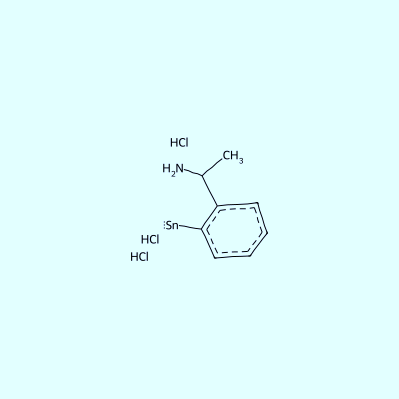 CC(N)c1cccc[c]1[Sn].Cl.Cl.Cl